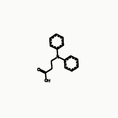 O=C(O)CCN(c1ccccc1)c1ccccc1